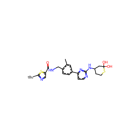 Cc1cc(-c2ccnc(NC3CCSC(O)(O)C3)n2)ccc1CNC(=O)c1cnc(C(C)(C)C)s1